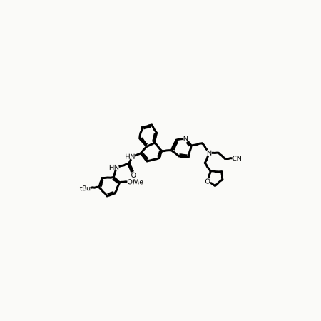 COc1ccc(C(C)(C)C)cc1NC(=O)Nc1ccc(-c2ccc(CN(CCC#N)CC3CCCO3)nc2)c2ccccc12